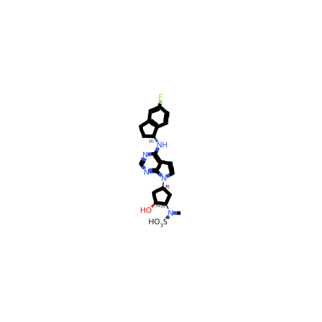 CN([C@H]1C[C@@H](n2ccc3c(N[C@H]4CCc5cc(F)ccc54)ncnc32)C[C@@H]1O)S(=O)(=O)O